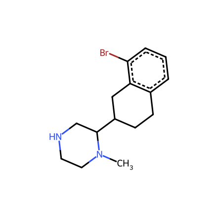 CN1CCNCC1C1CCc2cccc(Br)c2C1